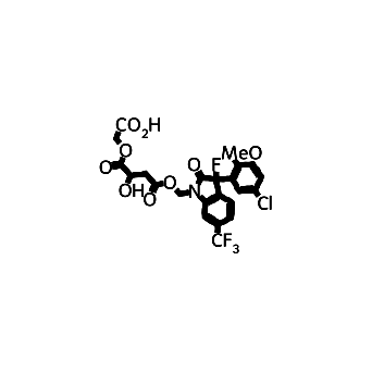 COc1ccc(Cl)cc1C1(F)C(=O)N(COC(=O)CC(O)C(=O)OCC(=O)O)c2cc(C(F)(F)F)ccc21